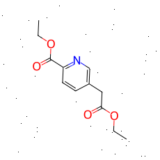 CCOC(=O)Cc1ccc(C(=O)OCC)nc1